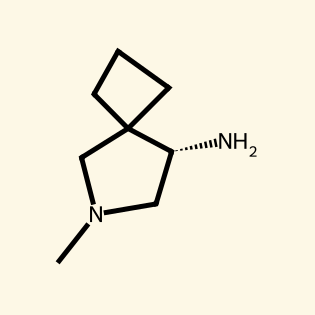 CN1C[C@@H](N)C2(CCC2)C1